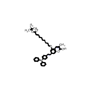 C/C(=C/c1ccc(/C=C/c2ccc(N(c3ccccc3)c3ccccc3)cc2)cc1OCCCCCCCCCC(=O)OC(C)(C)C)C(=O)O